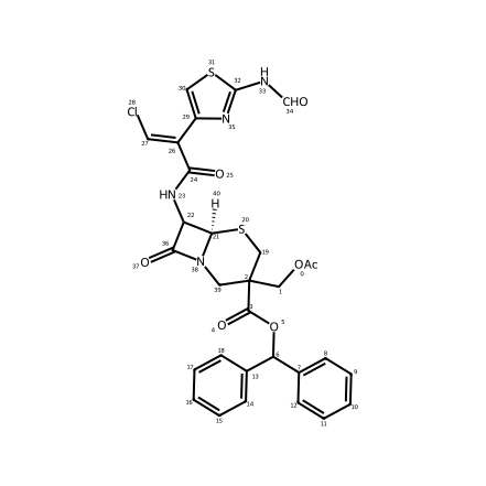 CC(=O)OCC1(C(=O)OC(c2ccccc2)c2ccccc2)CS[C@@H]2C(NC(=O)C(=CCl)c3csc(NC=O)n3)C(=O)N2C1